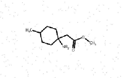 COC(=O)CC1(N)CCC(C)CC1